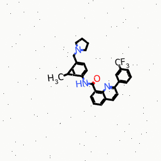 CC1C2C(CN3CCCC3)=CC=C(NC(=O)c3cccc4ccc(-c5cccc(C(F)(F)F)c5)nc34)C12